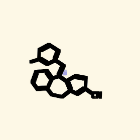 Cc1cccc(/C=C2\c3ccccc3CCc3cc(C#N)ccc32)c1